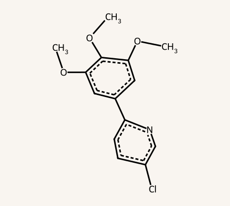 COc1cc(-c2ccc(Cl)cn2)cc(OC)c1OC